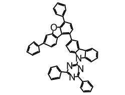 c1ccc(-c2ccc3c(c2)oc2c(-c4ccccc4)ccc(-c4ccc5c(c4)c4ccccc4n5-c4nc(-c5ccccc5)nc(-c5ccccc5)n4)c23)cc1